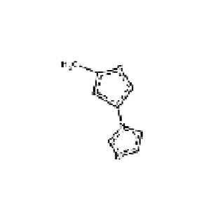 Cc1cc(-n2ccnc2)cs1